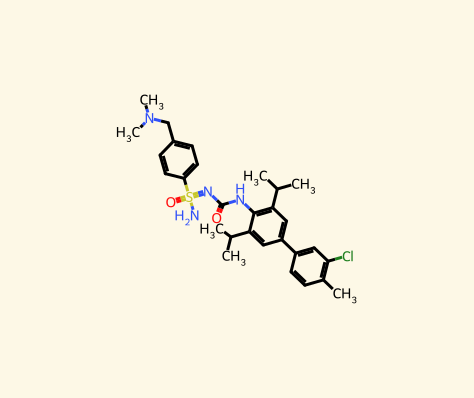 Cc1ccc(-c2cc(C(C)C)c(NC(=O)N=S(N)(=O)c3ccc(CN(C)C)cc3)c(C(C)C)c2)cc1Cl